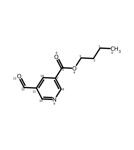 CCCCOC(=O)c1cncc([C]=O)c1